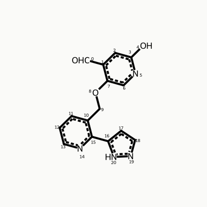 O=Cc1cc(O)ncc1OCc1cccnc1-c1ccn[nH]1